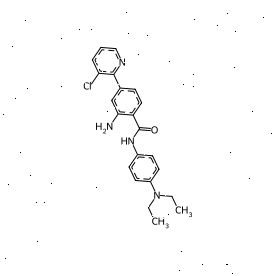 CCN(CC)c1ccc(NC(=O)c2ccc(-c3ncccc3Cl)cc2N)cc1